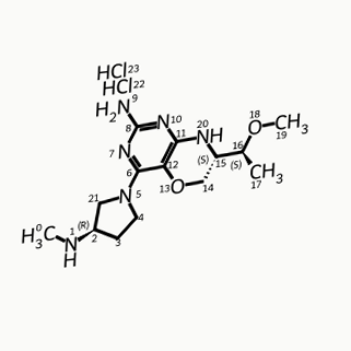 CN[C@@H]1CCN(c2nc(N)nc3c2OC[C@@H]([C@H](C)OC)N3)C1.Cl.Cl